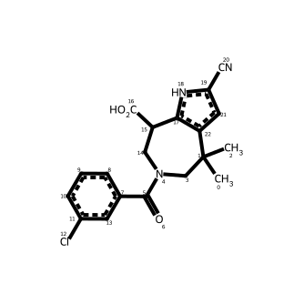 CC1(C)CN(C(=O)c2cccc(Cl)c2)CC(C(=O)O)c2[nH]c(C#N)cc21